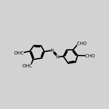 O=Cc1ccc(N=Nc2ccc(C=O)c(C=O)c2)cc1C=O